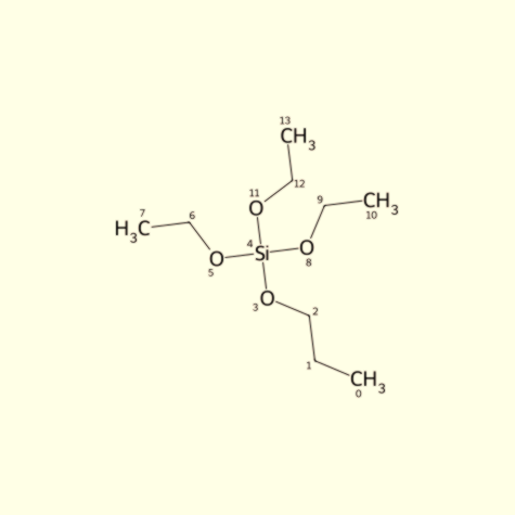 CCCO[Si](OCC)(OCC)OCC